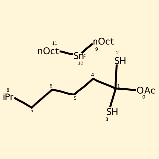 CC(=O)OC(S)(S)CCCCC(C)C.CCCCCCC[CH2][Sn][CH2]CCCCCCC